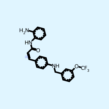 Nc1ccccc1NC(=O)/C=C\c1ccc(NCc2cccc(OC(F)(F)F)c2)cc1